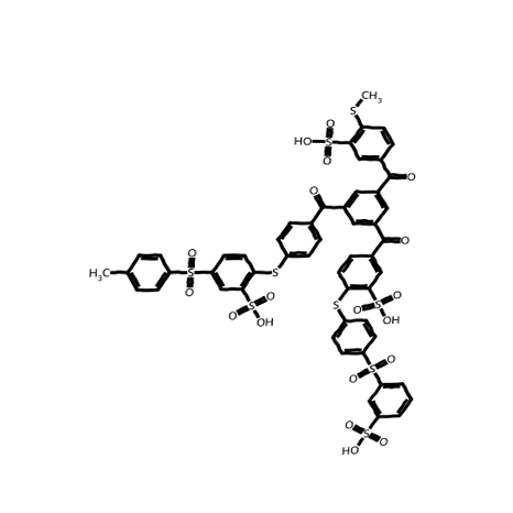 CSc1ccc(C(=O)c2cc(C(=O)c3ccc(Sc4ccc(S(=O)(=O)c5ccc(C)cc5)cc4S(=O)(=O)O)cc3)cc(C(=O)c3ccc(Sc4ccc(S(=O)(=O)c5cccc(S(=O)(=O)O)c5)cc4)c(S(=O)(=O)O)c3)c2)cc1S(=O)(=O)O